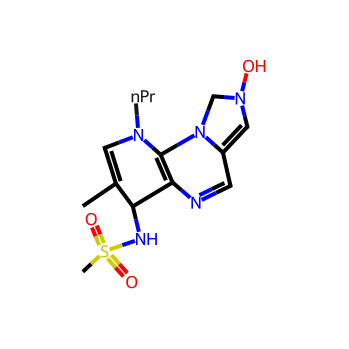 CCCN1C=C(C)C(NS(C)(=O)=O)C2=C1N1CN(O)C=C1C=N2